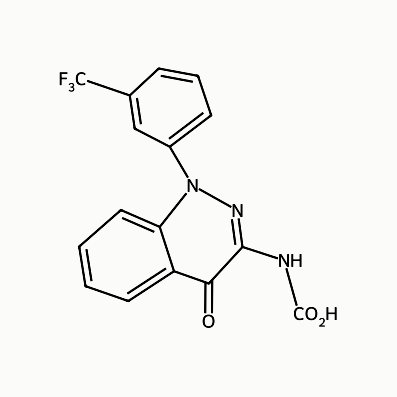 O=C(O)Nc1nn(-c2cccc(C(F)(F)F)c2)c2ccccc2c1=O